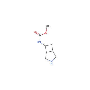 CC(C)(C)OC(=O)NC1CC2CNCC21